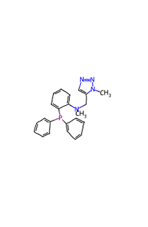 CN(Cc1cnnn1C)c1ccccc1P(c1ccccc1)c1ccccc1